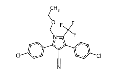 CCOCn1c(-c2ccc(Cl)cc2)c(C#N)c(-c2ccc(Cl)cc2)c1C(F)(F)F